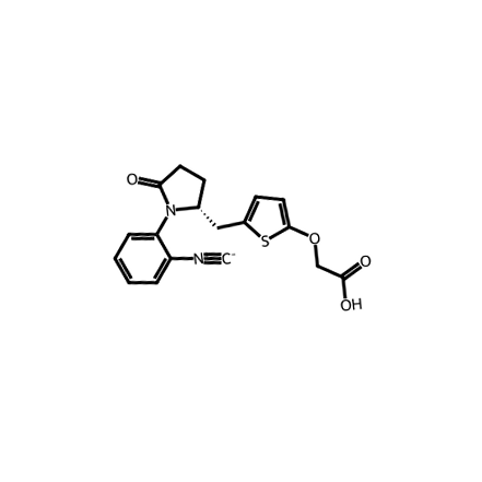 [C-]#[N+]c1ccccc1N1C(=O)CC[C@@H]1Cc1ccc(OCC(=O)O)s1